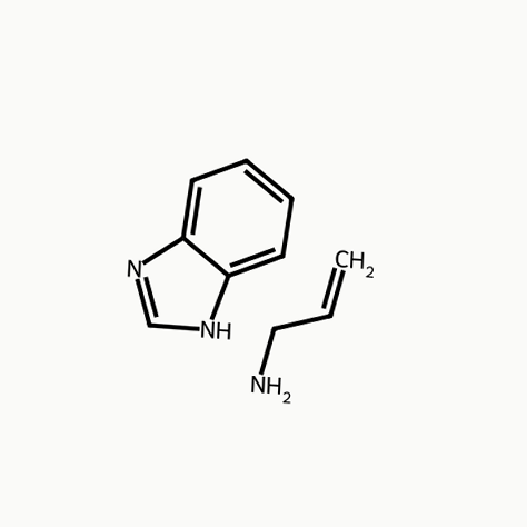 C=CCN.c1ccc2[nH]cnc2c1